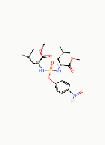 COC(=O)[C@H](CC(C)C)NP(=O)(N[C@@H](CC(C)C)C(=O)OC)Oc1ccc([N+](=O)[O-])cc1